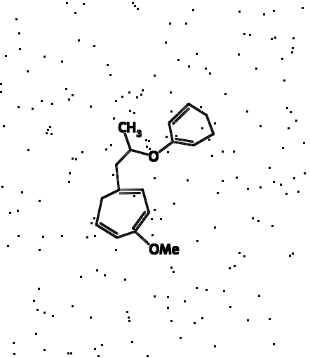 COC1=CC=C(CC(C)OC2=CCCC=C2)CC=C1